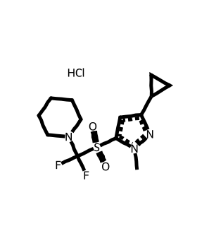 Cl.Cn1nc(C2CC2)cc1S(=O)(=O)C(F)(F)N1CCCCC1